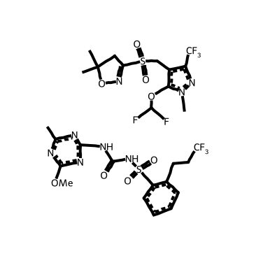 COc1nc(C)nc(NC(=O)NS(=O)(=O)c2ccccc2CCC(F)(F)F)n1.Cn1nc(C(F)(F)F)c(CS(=O)(=O)C2=NOC(C)(C)C2)c1OC(F)F